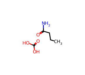 CCCC(N)=O.O=C(O)O